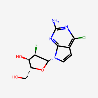 Nc1nc(Cl)c2ccn([C@@H]3O[C@H](CO)[C@@H](O)[C@H]3F)c2n1